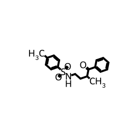 Cc1ccc(S(=O)(=O)NCCC(C)C(=O)c2ccccc2)cc1